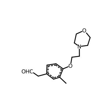 Cc1cc(CC=O)ccc1OCCN1CCOCC1